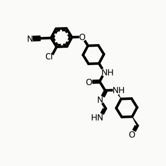 N#Cc1ccc(OC2CCC(NC(=O)/C(=N/C=N)N[C@H]3CC[C@H](C=O)CC3)CC2)cc1Cl